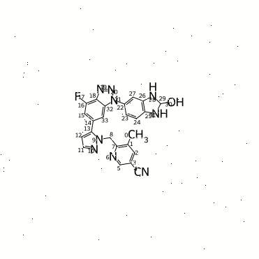 Cc1cc(C#N)cnc1Cn1nccc1-c1cc(F)c2nnn(-c3ccc4c(c3)NC(O)N4)c2c1